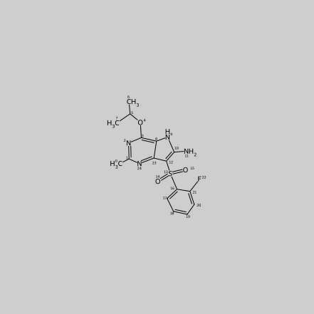 Cc1nc(OC(C)C)c2[nH]c(N)c(S(=O)(=O)c3ccccc3F)c2n1